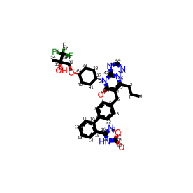 CCCc1c(Cc2ccc(-c3ccccc3-c3noc(=O)[nH]3)cc2)c(=O)n([C@H]2CC[C@H](OCC(C)(O)C(F)(F)F)CC2)c2ncnn12